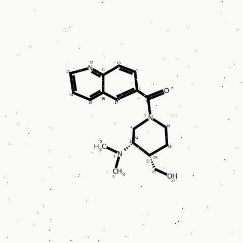 CN(C)[C@@H]1CN(C(=O)c2ccc3ncccc3c2)CC[C@@H]1CO